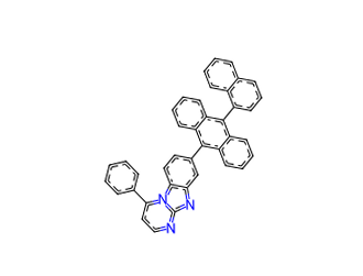 c1ccc(-c2ccnc3nc4cc(-c5c6ccccc6c(-c6cccc7ccccc67)c6ccccc56)ccc4n23)cc1